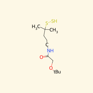 CC(C)(C)OCC(=O)NCCCC(C)(C)SS